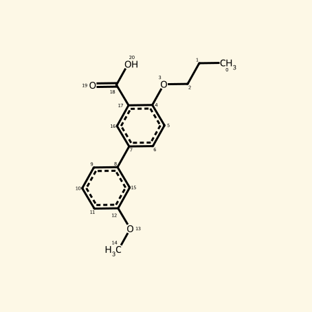 CCCOc1ccc(-c2cccc(OC)c2)cc1C(=O)O